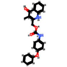 Cc1c(COC(=O)Nc2ccc(Oc3ccccc3)cc2)[nH]c2ccccc2c1=O